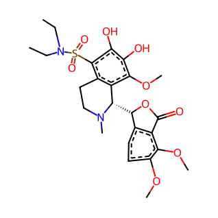 CCN(CC)S(=O)(=O)c1c(O)c(O)c(OC)c2c1CCN(C)[C@H]2C1OC(=O)c2c1ccc(OC)c2OC